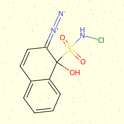 [N-]=[N+]=C1C=Cc2ccccc2C1(O)S(=O)(=O)NCl